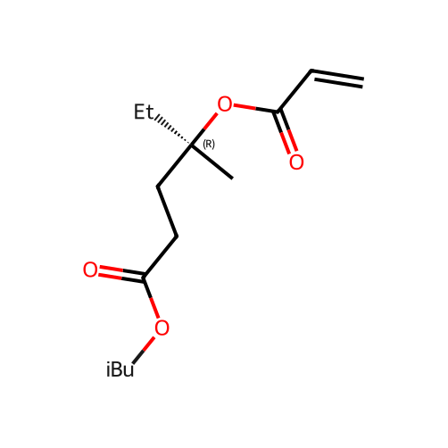 C=CC(=O)O[C@](C)(CC)CCC(=O)OC(C)CC